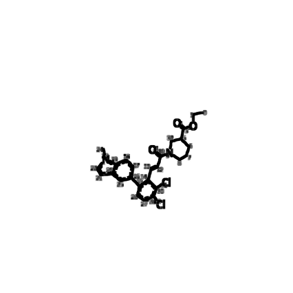 CCOC(=O)C1CCCN(C(=O)/C=C/c2c(-c3ccc4c(ccn4C)c3)c[c]c(Cl)c2Cl)C1